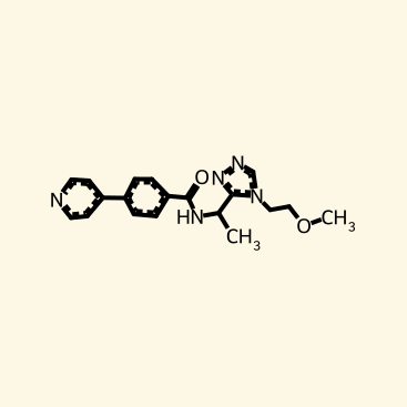 COCCn1cnnc1C(C)NC(=O)c1ccc(-c2ccncc2)cc1